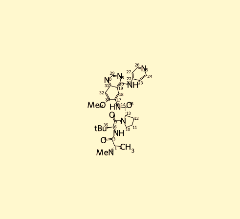 CN[C@@H](C)C(=O)N[C@H](C(=O)N1CCC[C@H]1C(=O)Nc1cc2c(Nc3ccncc3)ncnc2cc1OC)C(C)(C)C